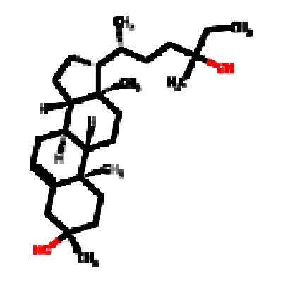 CCC(C)(O)CC[C@@H](C)[C@H]1CC[C@H]2[C@@H]3CC=C4C[C@@](C)(O)CC[C@]4(C)[C@H]3CC[C@]12C